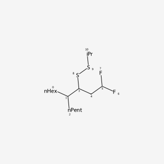 CCCCCCC(CCCCC)C(CC(F)F)SSC(C)C